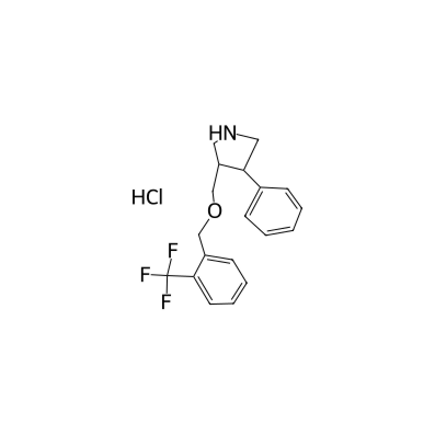 Cl.FC(F)(F)c1ccccc1COCC1CNCC1c1ccccc1